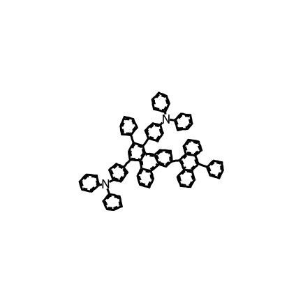 c1ccc(-c2cc(-c3ccc(N(c4ccccc4)c4ccccc4)cc3)c3c4ccccc4c4cc(-c5c6ccccc6c(-c6ccccc6)c6ccccc56)ccc4c3c2-c2ccc(N(c3ccccc3)c3ccccc3)cc2)cc1